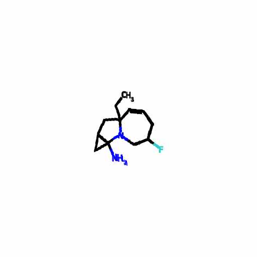 CCC12C=CCC(F)CN1C1(N)CC1C2